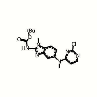 CN(c1ccc2c(c1)nc(NC(=O)OC(C)(C)C)n2C)c1ccnc(Cl)n1